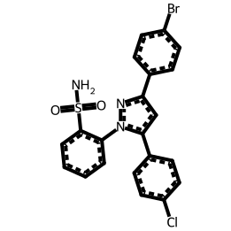 NS(=O)(=O)c1ccccc1-n1nc(-c2ccc(Br)cc2)cc1-c1ccc(Cl)cc1